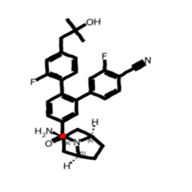 CC(C)(O)Cc1ccc(-c2ccc(C(=O)N3[C@@H]4CC[C@H]3C[C@@H](N)C4)cc2-c2ccc(C#N)c(F)c2)c(F)c1